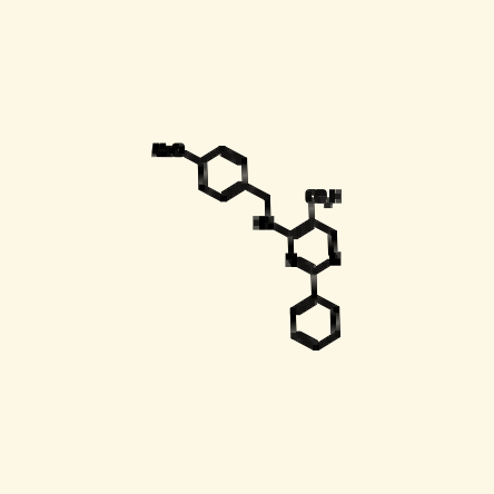 COc1ccc(CNc2nc(-c3ccccc3)ncc2C(=O)O)cc1